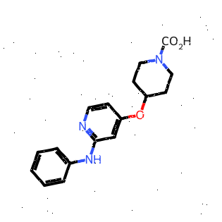 O=C(O)N1CCC(Oc2ccnc(Nc3ccccc3)c2)CC1